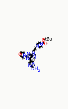 CC(C)(C)OC(=O)N1CCN(CCCn2cnc3c(-c4cnc(N)nc4)nc(N4CCOCC4)nc32)CC1